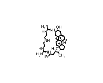 CC(C)CCCC(C)[C@H]1CC[C@H]2[C@@H]3CC=C4C[C@@H](O)CC[C@]4(C)[C@H]3CC[C@]12C.N=C(N)NCCNCCNC(=N)N